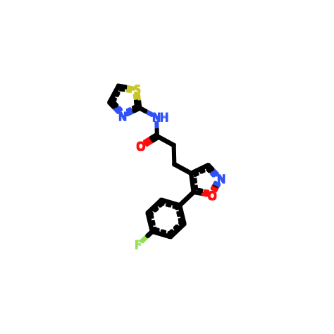 O=C(CCc1cnoc1-c1ccc(F)cc1)Nc1nccs1